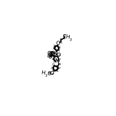 CCCCOc1ccc(S(=O)(=O)C2(C(=O)O)CCN(Cc3ccc(OC)cc3)CC2)cc1.NO